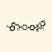 C[C@H](C(=O)N1CCN(c2ccc(S(=O)(=O)Nc3ccncn3)cc2)CC1)n1ccc2c(F)cccc21